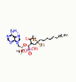 CCCCCCCCCCCCCCCCC(S)(S)C[C@H](C(=O)CC)[C@H](O[C@H](C)Cn1cnc2c(N)ncnc21)P(=O)(O)O